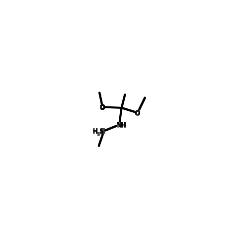 COC(C)(N[SiH2]C)OC